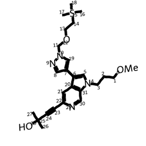 COCCCn1cc(-c2cnn(COCCS(C)(C)C)c2)c2cc(C#CC(C)(C)O)ncc21